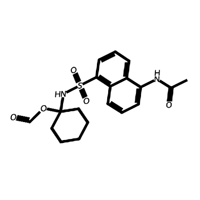 CC(=O)Nc1cccc2c(S(=O)(=O)NC3(OC=O)CCCCC3)cccc12